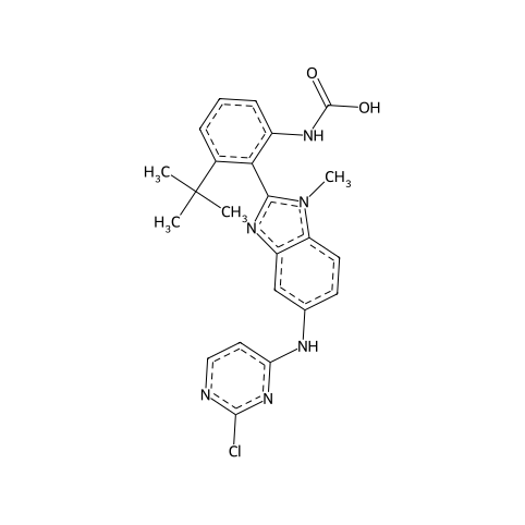 Cn1c(-c2c(NC(=O)O)cccc2C(C)(C)C)nc2cc(Nc3ccnc(Cl)n3)ccc21